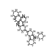 c1ccc(-n2c3ccccc3c3cc(-c4ccc5nc6c7c(nccc7c5c4)-c4ccccc4S6)ccc32)cc1